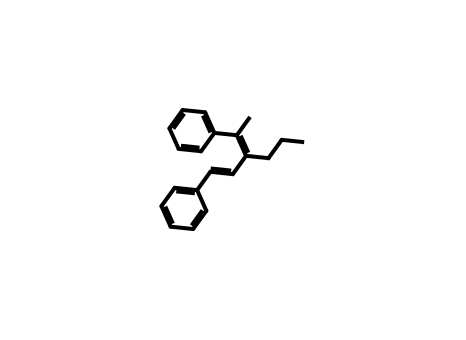 CCCC(C=Cc1ccccc1)=C(C)c1ccccc1